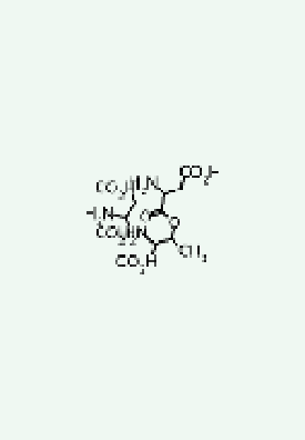 CC(OC(=O)C(N)CC(=O)O)C(N)C(=O)O.NC(CC(=O)O)C(=O)O